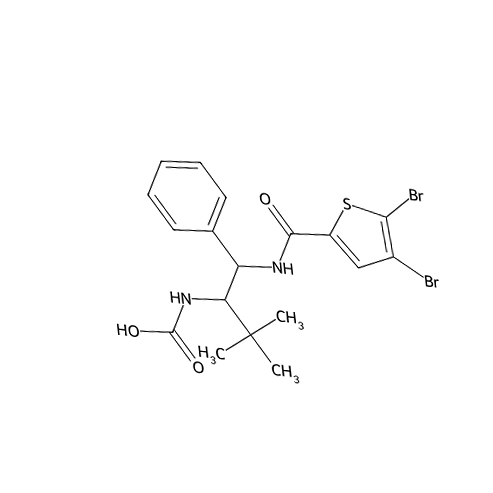 CC(C)(C)C(NC(=O)O)C(NC(=O)c1cc(Br)c(Br)s1)c1ccccc1